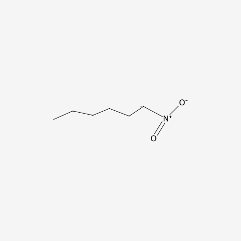 CCCCC[CH][N+](=O)[O-]